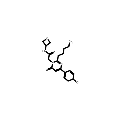 CCCCCc1nc(C2=CCC(Cl)C=C2)cc(=O)n1CC(=O)NC1COC1